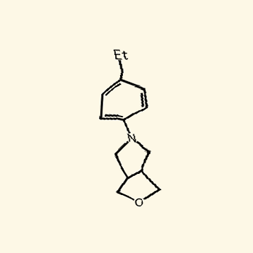 CCc1ccc(N2CC3COCC3C2)cc1